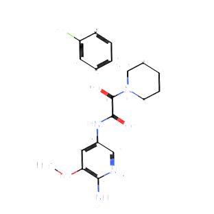 COc1cc(NC(=O)C(=O)N2CCCC[C@H]2c2ccc(F)cc2)cnc1N